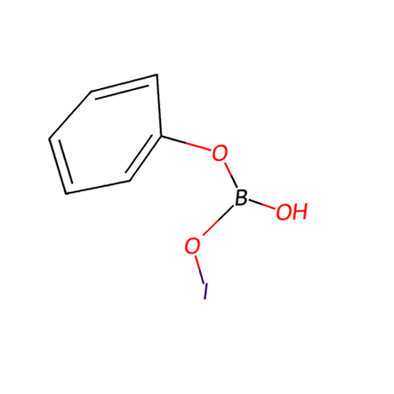 OB(OI)Oc1ccccc1